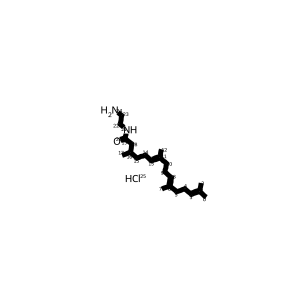 CC(C)=CCCC(C)=CCCC(C)=CCCC(C)CC(=O)NCCN.Cl